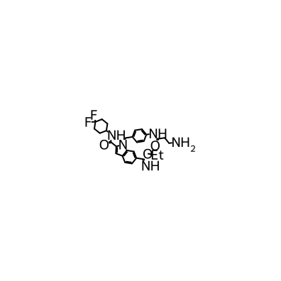 CCOC(=N)c1ccc2cc(C(=O)NC3CCC(F)(F)CC3)n(Cc3ccc(NC(=O)CCN)cc3)c2c1